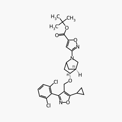 CC(C)(C)OC(=O)c1cc(N2C[C@@H]3CC2C[C@H]3OCc2c(-c3c(Cl)cccc3Cl)noc2C2CC2)no1